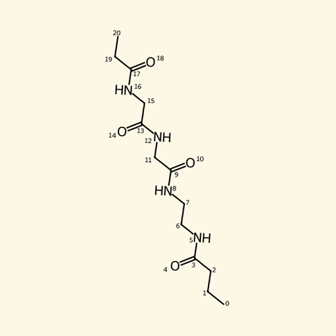 CCCC(=O)NCCNC(=O)CNC(=O)CNC(=O)CC